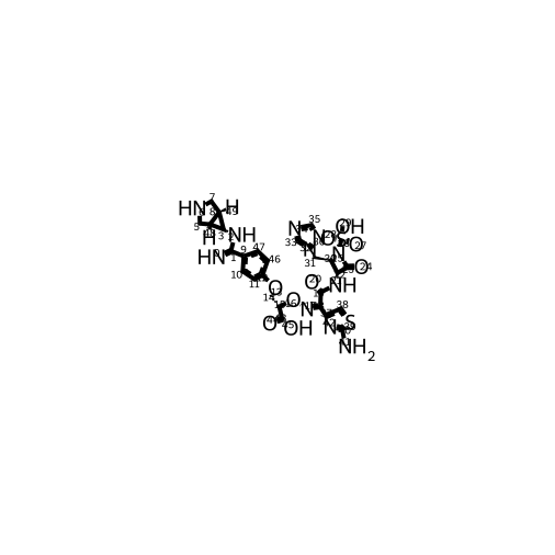 N=C(N[C@@H]1[C@@H]2CNC[C@@H]21)c1ccc(OC[C@H](O/N=C(\C(=O)N[C@@H]2C(=O)N(S(=O)(=O)O)[C@@H]2Cn2cncn2)c2csc(N)n2)C(=O)O)cc1